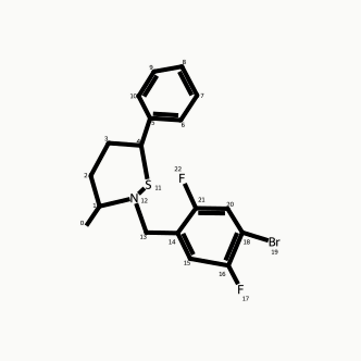 CC1CCC(c2ccccc2)SN1Cc1cc(F)c(Br)cc1F